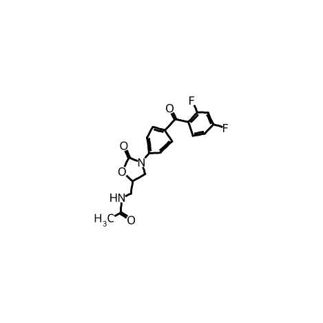 CC(=O)NCC1CN(c2ccc(C(=O)c3ccc(F)cc3F)cc2)C(=O)O1